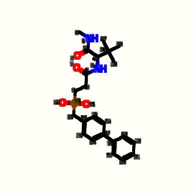 CNC(=O)[C@H](NC(=O)[CH]CS(=O)(=O)Cc1ccc(-c2ccccc2)cc1)C(C)(C)C